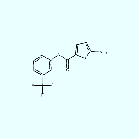 Nc1ccc(C(=O)Nc2cccc(C(F)(F)F)c2)s1